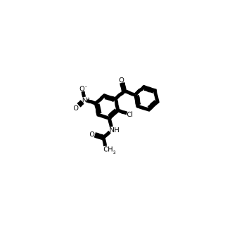 CC(=O)Nc1cc([N+](=O)[O-])cc(C(=O)c2ccccc2)c1Cl